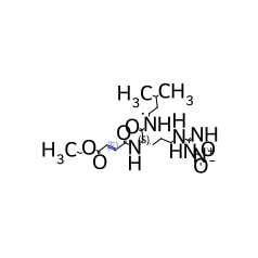 CCOC(=O)/C=C/C(=O)N[C@@H](CCCNC(=N)N[N+](=O)[O-])C(=O)N[CH]CC(C)C